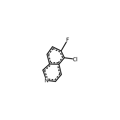 Fc1ccc2cnccc2c1Cl